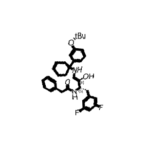 CC(C)(C)Oc1cccc(C2(NC[C@@H](O)[C@H](Cc3cc(F)cc(F)c3)NC(=O)Cc3ccccc3)CCCCC2)c1